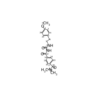 COc1ccc(CCNC(=O)NC(=O)c2ccc(C(=O)N(C)C)cc2)cc1